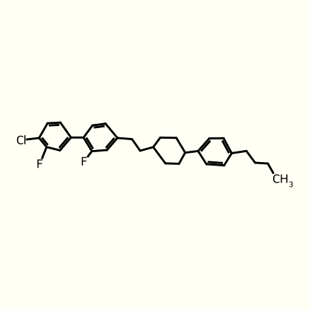 CCCCc1ccc(C2CCC(CCc3ccc(-c4ccc(Cl)c(F)c4)c(F)c3)CC2)cc1